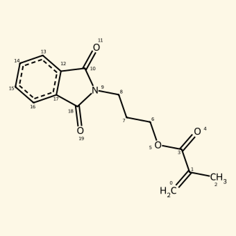 C=C(C)C(=O)OCCCN1C(=O)c2ccccc2C1=O